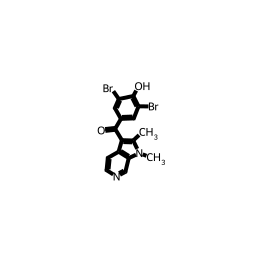 Cc1c(C(=O)c2cc(Br)c(O)c(Br)c2)c2ccncc2n1C